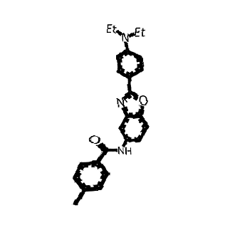 CCN(CC)c1ccc(-c2nc3cc(NC(=O)c4ccc(C)cc4)ccc3o2)cc1